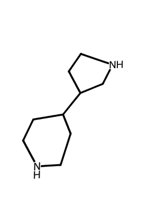 C1CC(C2CCNC2)CCN1